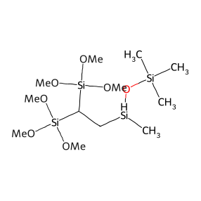 CO[Si](OC)(OC)C(C[SiH](C)O[Si](C)(C)C)[Si](OC)(OC)OC